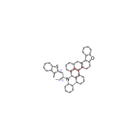 C=c1/c(=C\C(=C/C)N(c2ccc(-c3ccc4oc5ccccc5c4c3)cc2)c2ccccc2-c2cccc(-c3cccc4ccccc34)c2)sc2ccccc12